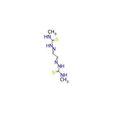 CNC(=S)N/N=C/C=N/NC(=S)NC